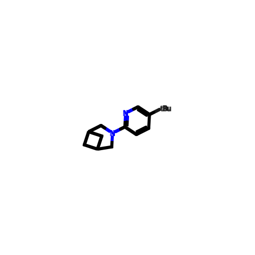 CC(C)(C)c1ccc(N2CC3CC(C3)C2)nc1